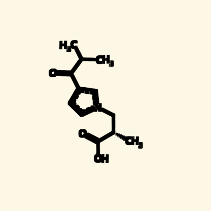 CC(C)C(=O)c1ccn(C[C@H](C)C(=O)O)c1